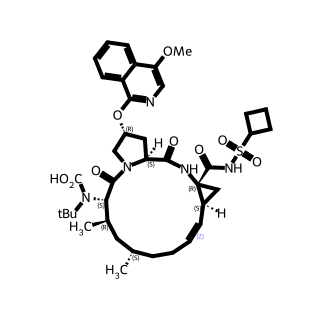 COc1cnc(O[C@@H]2C[C@H]3C(=O)N[C@]4(C(=O)NS(=O)(=O)C5CCC5)C[C@H]4/C=C\CC[C@H](C)C[C@@H](C)[C@H](N(C(=O)O)C(C)(C)C)C(=O)N3C2)c2ccccc12